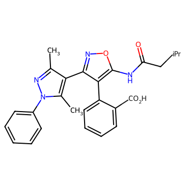 Cc1nn(-c2ccccc2)c(C)c1-c1noc(NC(=O)CC(C)C)c1-c1ccccc1C(=O)O